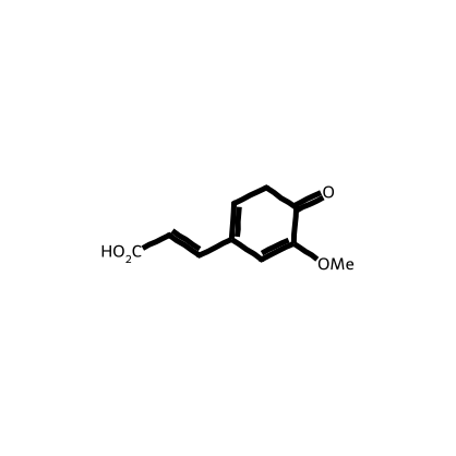 COC1=CC(C=CC(=O)O)=CCC1=O